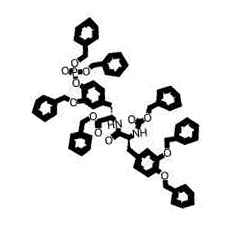 O=C(N[C@@H](Cc1ccc(OCc2ccccc2)c(OCc2ccccc2)c1)C(=O)N[C@@H](Cc1ccc(OP(=O)(OCc2ccccc2)OCc2ccccc2)c(OCc2ccccc2)c1)C(=O)OCc1ccccc1)OCc1ccccc1